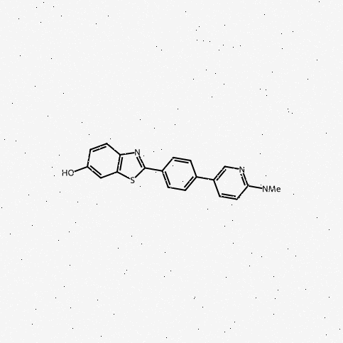 CNc1ccc(-c2ccc(-c3nc4ccc(O)cc4s3)cc2)cn1